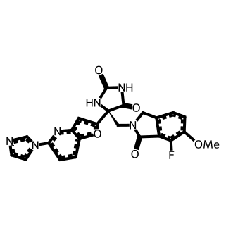 COc1ccc2c(c1F)C(=O)N(C[C@@]1(c3cc4nc(-n5ccnc5)ccc4o3)NC(=O)NC1=O)C2